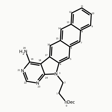 CCCCCCCCCCCCn1c2cc3cc4ccccc4cc3cc2c2c(N)ncnc21